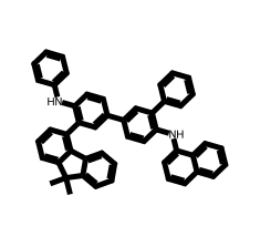 CC1(C)c2ccccc2-c2c(-c3cc(-c4ccc(Nc5cccc6ccccc56)c(-c5ccccc5)c4)ccc3Nc3ccccc3)cccc21